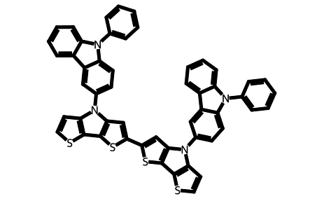 c1ccc(-n2c3ccccc3c3cc(-n4c5ccsc5c5sc(-c6cc7c(s6)c6sccc6n7-c6ccc7c(c6)c6ccccc6n7-c6ccccc6)cc54)ccc32)cc1